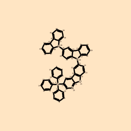 c1ccc([Si](c2ccccc2)(c2ccccc2)c2cnc3oc4ccc(-n5c6ccccc6c6cc(-n7c8ccccc8c8ccccc87)ccc65)cc4c3c2)cc1